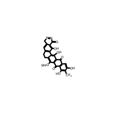 COc1c2c(c(O)c3c1C(=O)c1c(cc(O)c(C)c1O)C3=O)-c1c(cc3c(c1O)C(=O)N=NC3)CC2